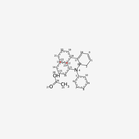 C1=CCP(N(c2ccccc2)c2ccccc2)C(c2ccccc2)=C1.CC(=O)O